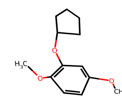 COc1ccc(OC)c(OC2CCCC2)c1